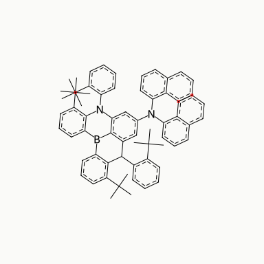 CC(C)(C)c1ccccc1C1c2cc(N(c3cccc4ccccc34)c3cccc4ccccc34)cc3c2B(c2cccc(C(C)(C)C)c21)c1cccc(C(C)(C)C)c1N3c1ccccc1C(C)(C)C